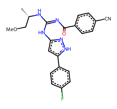 COC[C@H](C)N/C(=N/C(=O)c1ccc(C#N)cc1)Nc1cc(-c2ccc(F)cc2)[nH]n1